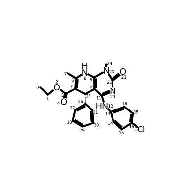 CCOC(=O)C1=C(C)Nc2c(c(Nc3ccc(Cl)cc3)nc(=O)n2C)[C@@H]1c1ccccc1